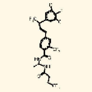 C[C@H](NC(=O)CCC(F)(F)F)NC(=O)c1ccc(/C=C/C(c2cc(Cl)c(F)c(Cl)c2)C(F)(F)F)cc1C(F)(F)F